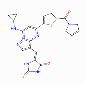 O=C1NC(=O)/C(=C/c2cnn3c(NC4CC4)cc(C4=CCC(C(=O)N5CC=CC5)S4)nc23)N1